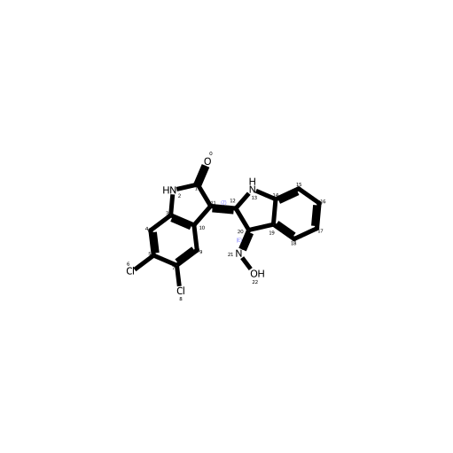 O=C1Nc2cc(Cl)c(Cl)cc2/C1=C1/Nc2ccccc2/C1=N\O